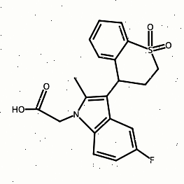 Cc1c(C2CCS(=O)(=O)c3ccccc32)c2cc(F)ccc2n1CC(=O)O